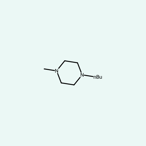 CC[CH]CN1CCN(C)CC1